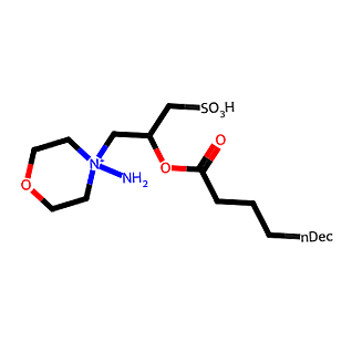 CCCCCCCCCCCCCC(=O)OC(C[N+]1(N)CCOCC1)CS(=O)(=O)O